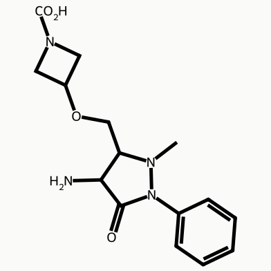 CN1C(COC2CN(C(=O)O)C2)C(N)C(=O)N1c1ccccc1